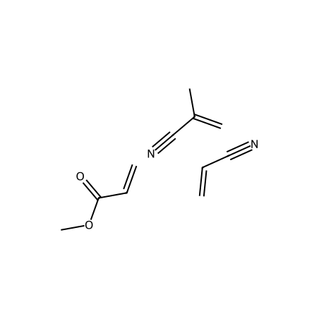 C=C(C)C#N.C=CC#N.C=CC(=O)OC